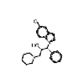 O[C@@H](CN1CCCCC1)[C@@H](c1ccccc1)n1ccc2cc(Cl)ccc21